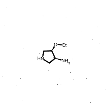 CCO[C@@H]1CNC[C@@H]1N